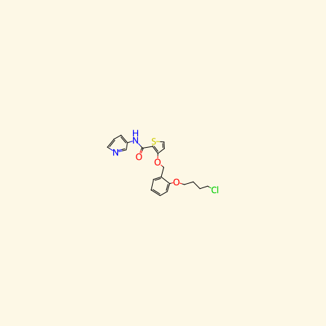 O=C(Nc1cccnc1)c1sccc1OCc1ccccc1OCCCCCl